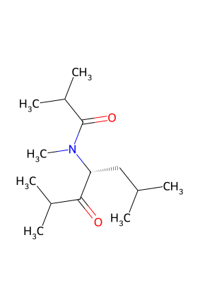 CC(C)C[C@H](C(=O)C(C)C)N(C)C(=O)C(C)C